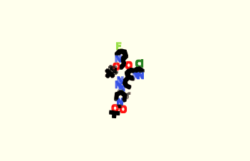 Cc1c(-c2cc(OC(CO[Si](C)(C)C(C)(C)C)c3ccc(F)cn3)c3c(Cl)cnn3c2)nnn1[C@H]1CCN(C(=O)OC(C)(C)C)C[C@H]1C